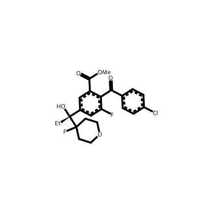 CC[C@@](O)(c1cc(F)c(C(=O)c2ccc(Cl)cc2)c(C(=O)OC)c1)C1(F)CCOCC1